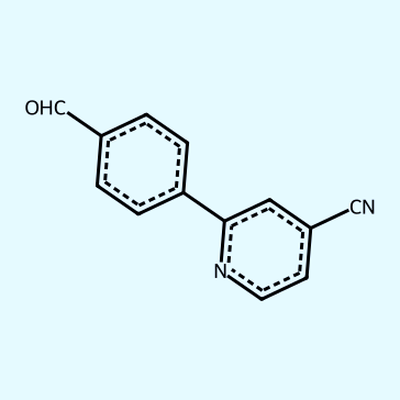 N#Cc1ccnc(-c2ccc(C=O)cc2)c1